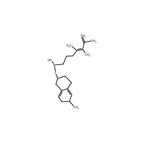 C=C(C)/C(C)=C(\C)CCCN(CCC)CC1CCC2=CC(C)CC=C2C1